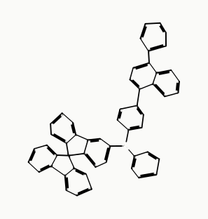 c1ccc(-c2ccc(-c3ccc(N(c4ccccc4)c4ccc5c(c4)-c4ccccc4C54c5ccccc5-c5ccccc54)cc3)c3ccccc23)cc1